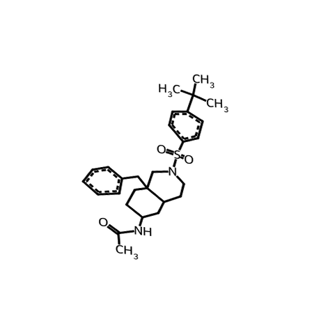 CC(=O)NC1CCC2(Cc3ccccc3)CN(S(=O)(=O)c3ccc(C(C)(C)C)cc3)CCC2C1